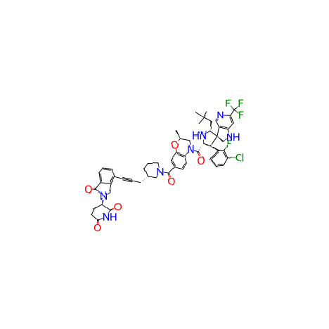 C[C@H]1CN(C(=O)[C@@H]2N[C@@H](CC(C)(C)C)[C@@]3(CNc4cc(C(F)(F)F)ncc43)[C@H]2c2cccc(Cl)c2F)c2ccc(C(=O)N3CCC[C@@H](CC#Cc4cccc5c4CN([C@@H]4CCC(=O)NC4=O)C5=O)C3)cc2O1